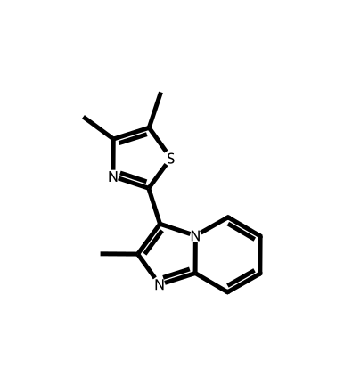 Cc1nc(-c2c(C)nc3ccccn23)sc1C